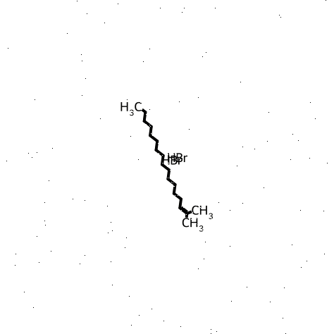 Br.Br.CCCCCCCCCCCCCCC=C(C)C